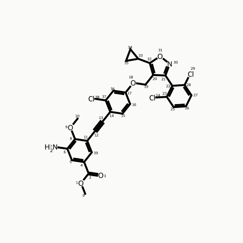 COC(=O)c1cc(N)c(OC)c(C#Cc2ccc(OCc3c(-c4c(Cl)cccc4Cl)noc3C3CC3)cc2Cl)c1